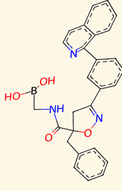 O=C(NCB(O)O)C1(Cc2ccccc2)CC(c2cccc(-c3nccc4ccccc34)c2)=NO1